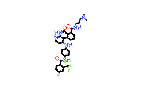 CN(C)CCCNC(=O)c1cccc2c1c(=O)[nH]c1nccc(Nc3ccc(NC(=O)c4ccc(F)cc4C(F)(F)F)cc3)c12